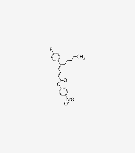 CCCCC/C(=C\C=C\C(=O)Oc1ccc([N+](=O)[O-])cc1)c1ccc(F)cc1